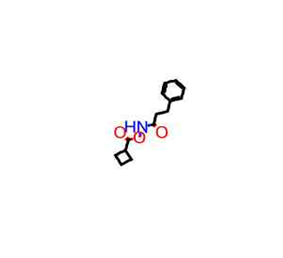 O=C(CCc1ccccc1)NOC(=O)C1CCC1